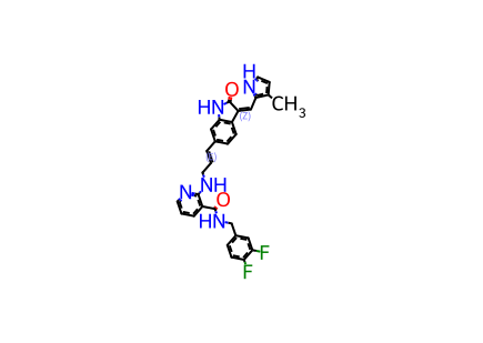 Cc1cc[nH]c1/C=C1\C(=O)Nc2cc(/C=C/CNc3ncccc3C(=O)NCc3ccc(F)c(F)c3)ccc21